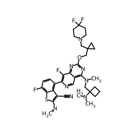 C=Nc1sc2c(F)ccc(-c3ncc4c(N(C)CC5(N(C)C)CCC5)nc(OCC5(CN6CCC(F)(F)CC6)CC5)nc4c3F)c2c1C#N